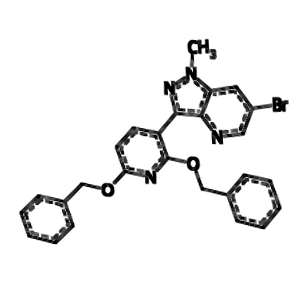 Cn1nc(-c2ccc(OCc3ccccc3)nc2OCc2ccccc2)c2ncc(Br)cc21